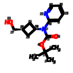 CC(C)(C)OC(=O)N(c1ccccn1)[C@H]1C[C@@H](CO)C1